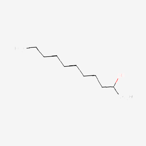 O=C(O)CCCCCCCCC(O)C(=O)O